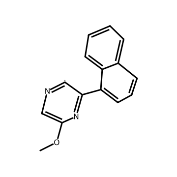 COc1cn[c]c(-c2cccc3ccccc23)n1